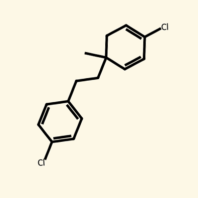 CC1(CCc2ccc(Cl)cc2)C=CC(Cl)=CC1